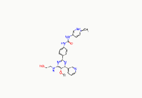 C=C/C=C\C(=C/N)NC(=O)Nc1ccc(-c2nc(NCCO)c(OCC)c(-c3cccnc3)n2)cc1